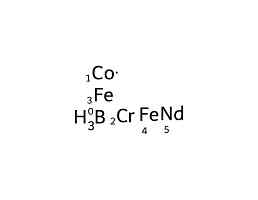 B.[Co].[Cr].[Fe].[Fe].[Nd]